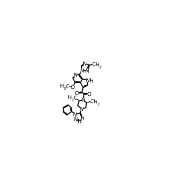 COc1cnc(-n2cnc(C)n2)c2[nH]cc(C(=O)C(=O)N3[C@H](C)CN(c4nnnn4-c4ccccc4)C[C@@H]3C)c12